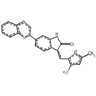 Cc1cc(C)c(/C=C2\C(=O)Nc3cc(-c4cnc5ccccc5n4)ccc32)[nH]1